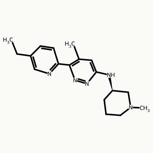 CCc1ccc(-c2nnc(N[C@@H]3CCCN(C)C3)cc2C)nc1